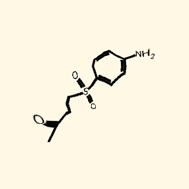 CC(=O)CCS(=O)(=O)c1ccc(N)cc1